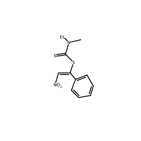 CCN(C)C(=S)S/C(=C/[N+](=O)[O-])c1ccccc1